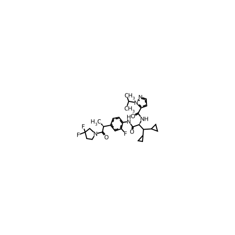 CC(C)n1nccc1C(=O)N[C@H](C(=O)Nc1ccc([C@H](C)C(=O)N2CCC(F)(F)C2)cc1F)C(C1CC1)C1CC1